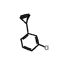 Clc1cccc(C2C#C2)c1